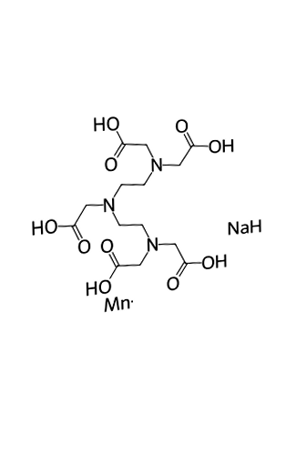 O=C(O)CN(CCN(CC(=O)O)CC(=O)O)CCN(CC(=O)O)CC(=O)O.[Mn].[NaH]